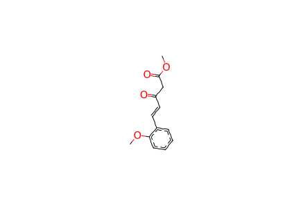 COC(=O)CC(=O)C=Cc1ccccc1OC